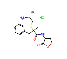 CC[C@H](C)C(N)CSC(C)(Cc1ccccc1)C(=O)N[C@H]1CCOC1=O.Cl